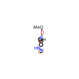 COCCOCCN1CC[C@]23CCCC[C@H]2[C@H]1Cc1ccc(Nc2nccs2)cc13